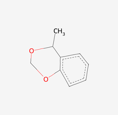 CC1OCOc2ccccc21